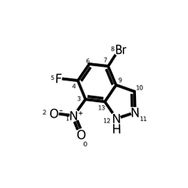 O=[N+]([O-])c1c(F)cc(Br)c2cn[nH]c12